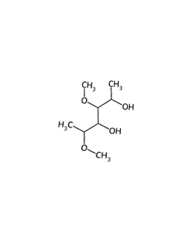 COC(C)C(O)C(OC)C(C)O